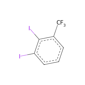 FC(F)(F)c1cccc(I)c1I